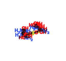 NCC1O[C@H](O[C@@H]2C(O)[C@@H](O[C@H]3OC(CSCCOCCSSCCOCCSCC4O[C@H](O[C@@H]5C(O)C(O[C@H]6OC(CN)[C@@H](O)CC6N)[C@@H](N)C[C@H]5N)C(O)[C@@H](N)[C@@H]4O)[C@@H](O)C(N)C3O)C(N)C[C@@H]2N)C(O)[C@@H](O)[C@@H]1O